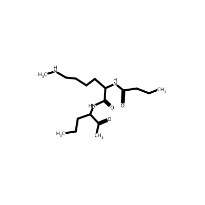 CCCC(=O)NC(CCCCNC)C(=O)NC(CCC)C(C)=O